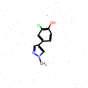 Cn1cc(-c2ccc(O)c(Cl)c2)cn1